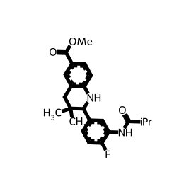 COC(=O)c1ccc2c(c1)CC(C)(C)C(c1ccc(F)c(NC(=O)C(C)C)c1)N2